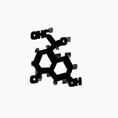 O=CC(=O)c1ccc(Cl)c2cc(O)ccc12